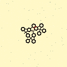 CC1(C)c2ccccc2-c2cc(-c3ccccc3)c(N(c3ccc4c(c3)C(c3ccccc3)(c3ccccc3)c3ccccc3-4)c3ccc4c(c3)C(c3ccccc3)(c3ccccc3)c3ccccc3-4)cc21